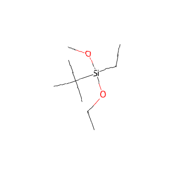 CCO[Si](CC)(OC)C(C)(C)C